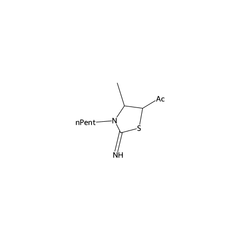 CCCCCN1C(=N)SC(C(C)=O)C1C